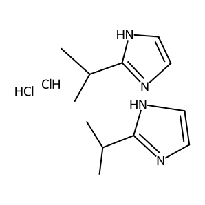 CC(C)c1ncc[nH]1.CC(C)c1ncc[nH]1.Cl.Cl